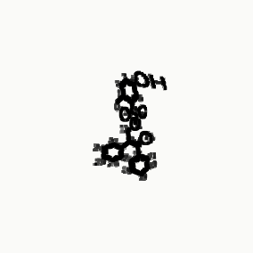 Cc1ccc(O)cc1S(=O)(=O)OCC(C(=O)c1ccccc1)c1ccccc1